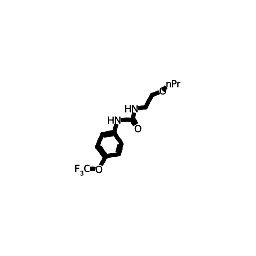 CCCOCCNC(=O)Nc1ccc(OC(F)(F)F)cc1